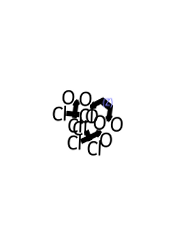 O=C(/C=C\C(=O)OC(=O)C(Cl)(Cl)Cl)OC(=O)C(Cl)(Cl)Cl